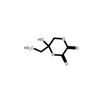 O=C(O)CC1(O)COC(=O)C(=O)O1